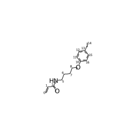 C=CC(=O)NCCCCOc1ccc(I)cc1